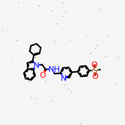 CS(=O)(=O)c1ccc(-c2ccc(CNC(=O)Cn3c(C4=CCCCC4)cc4ccccc43)nc2)cc1